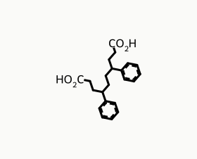 O=C(O)CCC(CCC(CCC(=O)O)c1ccccc1)c1ccccc1